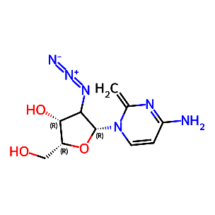 C=C1N=C(N)C=CN1[C@@H]1O[C@H](CO)[C@H](O)C1N=[N+]=[N-]